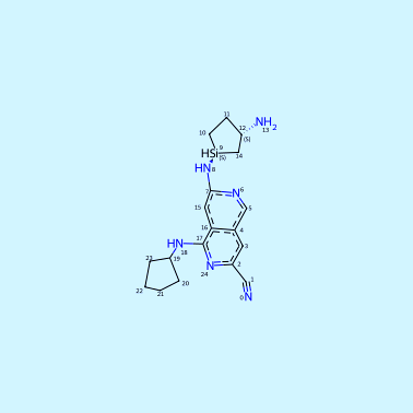 N#Cc1cc2cnc(N[Si@H]3CC[C@H](N)C3)cc2c(NC2CCCC2)n1